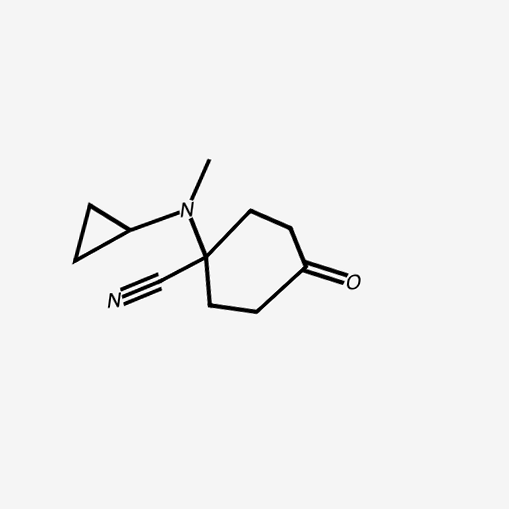 CN(C1CC1)C1(C#N)CCC(=O)CC1